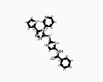 O=C(Nc1cnc(Sc2nnc(-c3cccs3)n2-c2cccnc2)s1)c1ccccc1